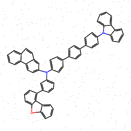 c1cc(-c2cccc3oc4ccccc4c23)cc(N(c2ccc(-c3ccc(-c4ccc(-n5c6ccccc6c6ccccc65)cc4)cc3)cc2)c2ccc3c(ccc4ccccc43)c2)c1